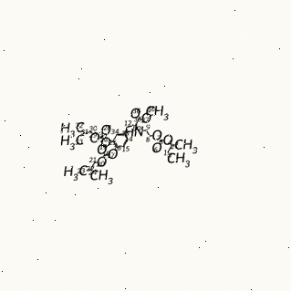 CCC(C)OC(=O)OCCN[C@@H](Cc1ccc(OC(=O)OCC(C)C)c(OC(=O)OCC(C)C)c1)C(=O)OC